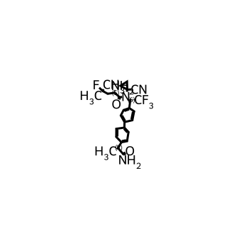 C[C@@H](C(N)=O)c1ccc(-c2ccc([C@H](N(C(=O)[C@@H](N)CC(C)(C)F)C3(C#N)CC3)C(F)(F)F)cc2)cc1